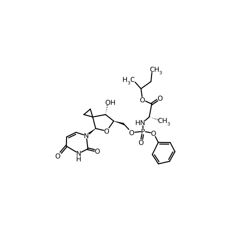 CCC(C)OC(=O)[C@H](C)NP(=O)(OC[C@H]1O[C@@H](n2ccc(=O)[nH]c2=O)C2(CC2)[C@@H]1O)Oc1ccccc1